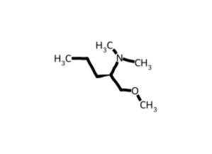 CCC[C@H](COC)N(C)C